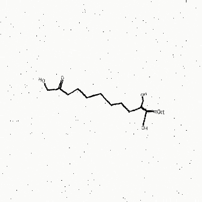 CCCCCCCCC(O)C(O)CCCCCCCC(=O)CO